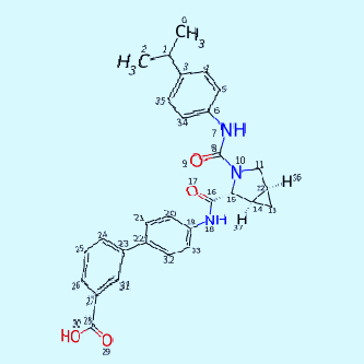 CC(C)c1ccc(NC(=O)N2C[C@H]3C[C@H]3[C@@H]2C(=O)Nc2ccc(-c3cccc(C(=O)O)c3)cc2)cc1